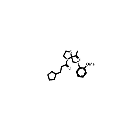 COc1ccccc1OCC1(C(C)=S)SCCN1C(=O)CCC1CCCC1